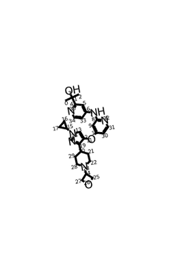 CC(C)(O)c1cc(Nc2cc(Oc3cn(C4CC4)nc3C3CCN(C4COC4)CC3)ccn2)ccn1